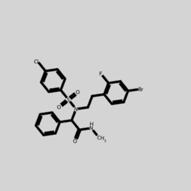 CNC(=O)C(c1ccccc1)N(CCc1ccc(Br)cc1F)S(=O)(=O)c1ccc(Cl)cc1